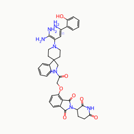 NC(N)=C(/C=C(\N)c1ccccc1O)N1CCC(CNC(=O)COc2cccc3c2C(=O)N(C2CCC(=O)NC2=O)C3=O)(c2ccccc2)CC1